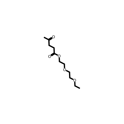 CCOCCOCCOC(=O)CCC(C)=O